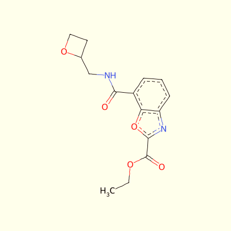 CCOC(=O)c1nc2cccc(C(=O)NCC3CCO3)c2o1